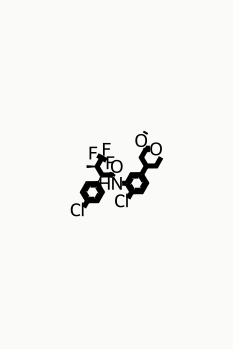 CCC(CC(=O)OC)c1ccc(Cl)c(NC(=O)[C@H](c2ccc(Cl)cc2)[C@@H](C)C(F)(F)F)c1